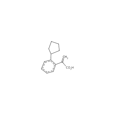 C=C(C(=O)O)c1ccccc1C1CCCC1